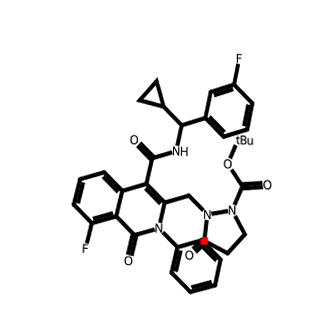 CC(C)(C)OC(=O)N1CCC(=O)N1Cc1c(C(=O)NC(c2cccc(F)c2)C2CC2)c2cccc(F)c2c(=O)n1-c1ccccc1